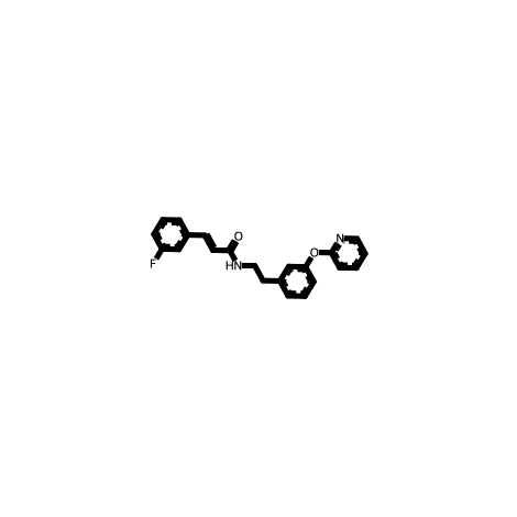 O=C(C=Cc1cccc(F)c1)NCCc1cccc(Oc2ccccn2)c1